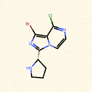 Clc1nccn2c([C@@H]3CCCN3)nc(Br)c12